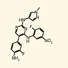 Cn1cc(Nc2ncc(-c3ccc(N)c(F)c3)c(Nc3cc([N+](=O)[O-])ccc3F)n2)cn1